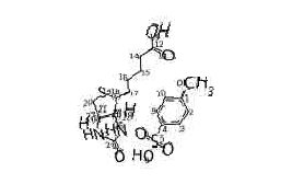 Cc1ccc(S(=O)(=O)O)cc1.O=C(O)CCCC[C@@H]1SC[C@@H]2NC(=O)N[C@@H]21